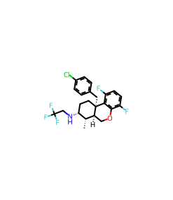 C[C@@H]1[C@H](NCC(F)(F)F)CC[C@@]2(Cc3ccc(Cl)cc3)c3c(F)ccc(F)c3OC[C@@H]12